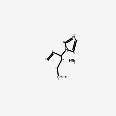 Br.C=CC(CCCCCCCC)n1ccnc1